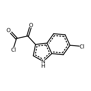 O=C(Cl)C(=O)c1c[nH]c2cc(Cl)ccc12